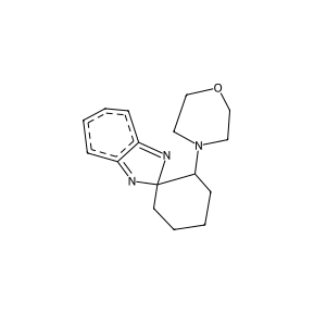 c1ccc2c(c1)=NC1(CCCCC1N1CCOCC1)N=2